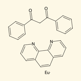 O=C(CC(=O)c1ccccc1)c1ccccc1.[Eu].c1cnc2c(c1)ccc1cccnc12